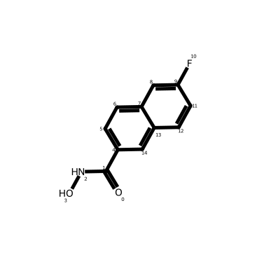 O=C(NO)c1ccc2cc(F)ccc2c1